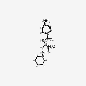 Nc1ccc(C(=O)NC2CCN(C3CCCCC3)C2)cc1.O